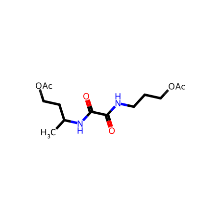 CC(=O)OCCCNC(=O)C(=O)NC(C)CCOC(C)=O